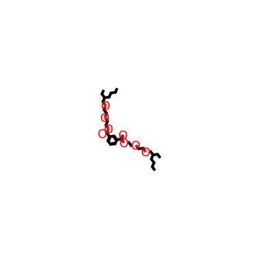 CCCCC(CC)COCCOCCOC(=O)c1cccc(C(=O)OCCOCCOCC(CC)CCCC)c1